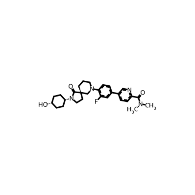 CN(C)C(=O)c1ccc(-c2ccc(N3CCC[C@]4(CCN([C@H]5CC[C@@H](O)CC5)C4=O)C3)c(F)c2)cn1